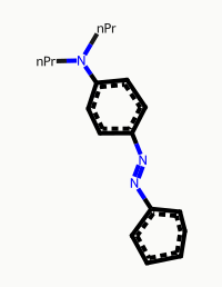 CCCN(CCC)c1ccc(N=Nc2ccccc2)cc1